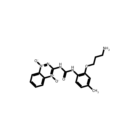 Cc1ccc(NC(=O)Nc2n[n+]([O-])c3ccccc3[n+]2[O-])c(OCCCN)c1